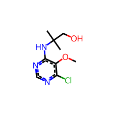 COc1c(Cl)ncnc1NC(C)(C)CO